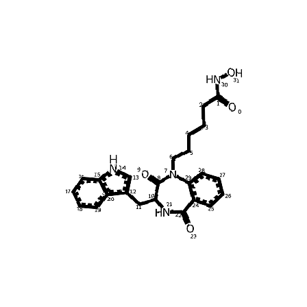 O=C(CCCCCN1C(=O)C(Cc2c[nH]c3ccccc23)NC(=O)c2ccccc21)NO